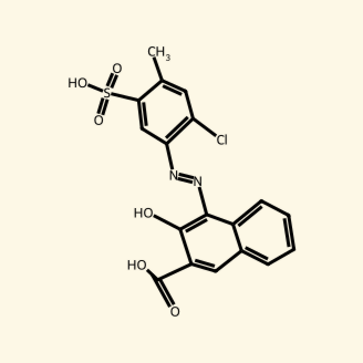 Cc1cc(Cl)c(N=Nc2c(O)c(C(=O)O)cc3ccccc23)cc1S(=O)(=O)O